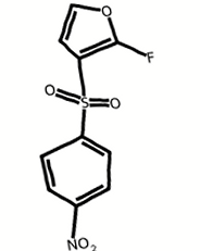 O=[N+]([O-])c1ccc(S(=O)(=O)c2ccoc2F)cc1